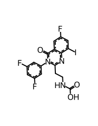 O=C(O)NCCc1nc2c(I)cc(F)cc2c(=O)n1-c1cc(F)cc(F)c1